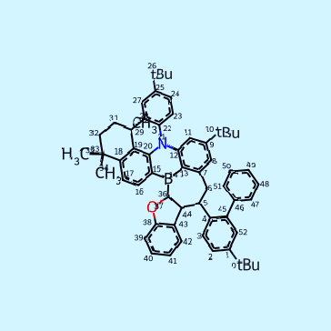 CC(C)(C)c1ccc(C2Cc3cc(C(C)(C)C)cc4c3B(c3ccc5c6c3N4c3ccc(C(C)(C)C)cc3C6(C)CCC5(C)C)C3Oc4ccccc4C32)c(-c2ccccc2)c1